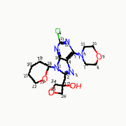 OC1(c2nc3c(N4CCOCC4)nc(Cl)nc3n2C2CCCCO2)COC1